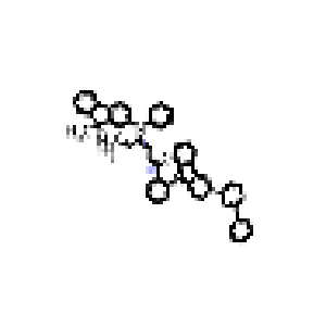 C=C/C(=C\C=C(/C)c1ccccc1-n1c2ccccc2c2cc(-c3cccc(-c4ccccc4)c3)ccc21)N(c1ccccc1)c1ccc2c(c1)C(C)(C)c1ccccc1-2